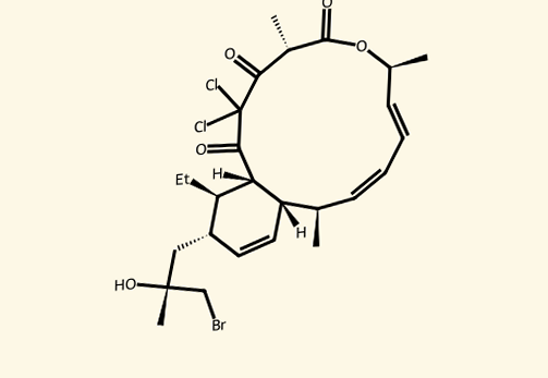 CC[C@H]1[C@@H]2C(=O)C(Cl)(Cl)C(=O)[C@H](C)C(=O)O[C@@H](C)/C=C/C=C\[C@@H](C)[C@@H]2C=C[C@@H]1C[C@@](C)(O)CBr